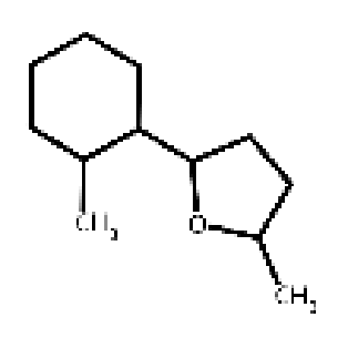 CC1CCC(C2CCCCC2C)O1